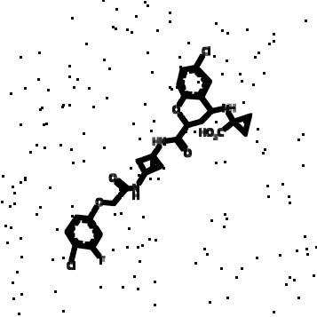 O=C(COc1ccc(Cl)c(F)c1)NC12CC(NC(=O)C3CC(NC4(C(=O)O)CC4)c4cc(Cl)ccc4O3)(C1)C2